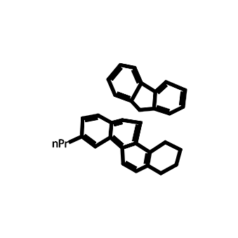 CCCc1ccc2ccc3c4c(ccc3c2c1)CCCC4.c1ccc2c(c1)Cc1ccccc1-2